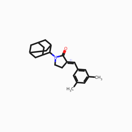 Cc1cc(C)cc(/C=C2\CCN(C3C4CC5CC(C4)CC3C5)C2=O)c1